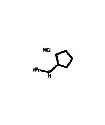 CCCPC1CCCC1.Cl